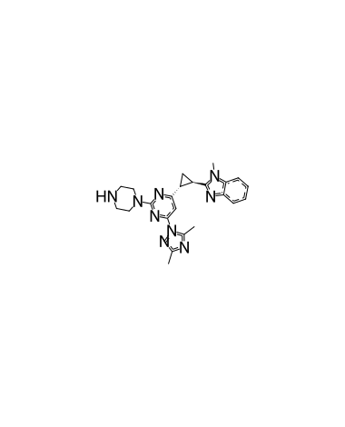 Cc1nc(C)n(-c2cc([C@@H]3C[C@H]3c3nc4ccccc4n3C)nc(N3CCNCC3)n2)n1